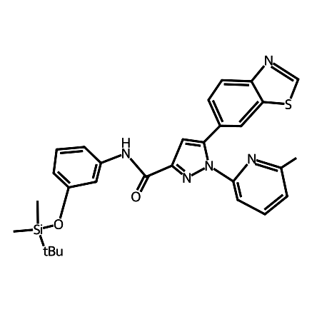 Cc1cccc(-n2nc(C(=O)Nc3cccc(O[Si](C)(C)C(C)(C)C)c3)cc2-c2ccc3ncsc3c2)n1